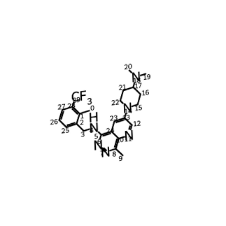 Cc1c(CNc2nnc(C)c3ncc(N4CCC(N(C)C)CC4)cc23)cccc1C(F)(F)F